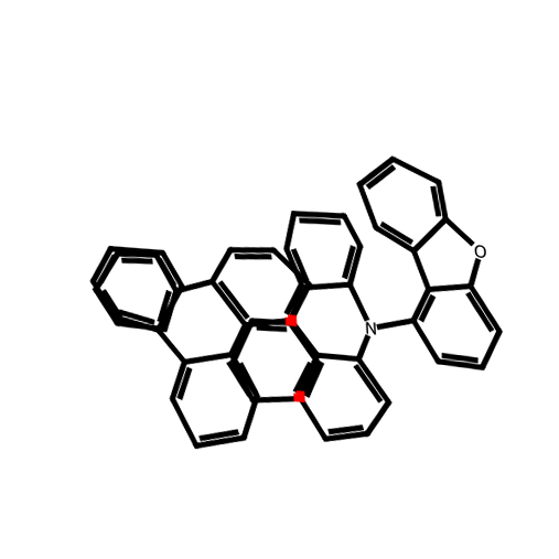 c1ccc(-c2ccccc2-c2c(-c3ccccc3)cccc2-c2ccccc2N(c2ccccc2-c2ccccc2)c2cccc3oc4ccccc4c23)cc1